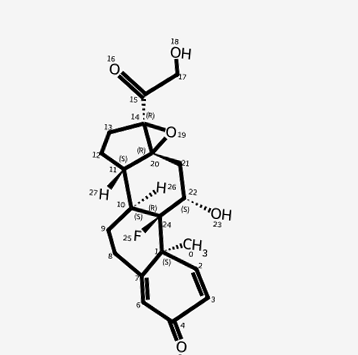 C[C@]12C=CC(=O)C=C1CC[C@H]1[C@@H]3CC[C@@]4(C(=O)CO)O[C@]34C[C@H](O)[C@@]12F